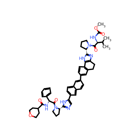 COC(=O)N[C@H](C(=O)N1CCC[C@H]1c1nc2c([nH]1)-c1ccc(-c3ccc4cc(-c5cnc([C@@H]6CCCN6C(=O)[C@H](NC(=O)C6CCOCC6)c6ccccc6)[nH]5)ccc4c3)cc1CC2)C(C)C